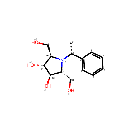 C[C@H](c1ccccc1)N1[C@H](CO)[C@@H](O)[C@H](O)[C@H]1CO